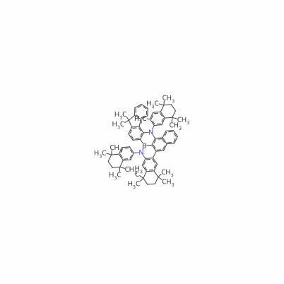 Cc1cc2c(cc1N1c3c(ccc4c3-c3ccccc3C4(C)C)B3c4c(cc5ccccc5c41)-c1cc4c(cc1N3c1ccc3c(c1)C(C)(C)CCC3(C)C)C(C)(C)CCC4(C)C)C(C)(C)CCC2(C)C